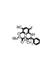 C[C@H](NC(=O)OC(C)(C)C)[C@H](Nc1nc(Cl)c(C#N)cc1F)c1ccccc1